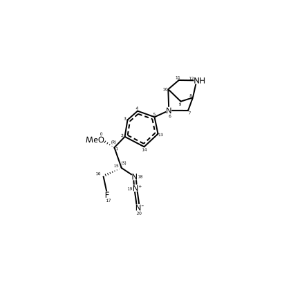 CO[C@H](c1ccc(N2CC3CC2CN3)cc1)[C@@H](CF)N=[N+]=[N-]